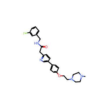 CN1CCN(CCOc2ccc(-c3ccc(CC(=O)NCc4cccc(F)c4)nc3)cc2)CC1